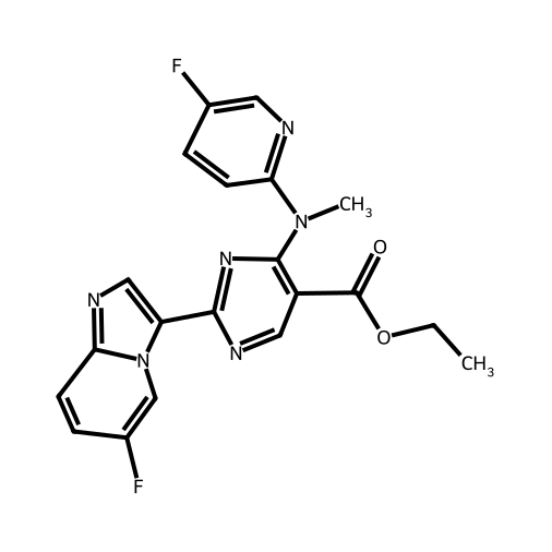 CCOC(=O)c1cnc(-c2cnc3ccc(F)cn23)nc1N(C)c1ccc(F)cn1